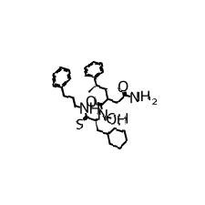 C[C@H](CC(CC(N)=O)C(=O)N(O)[C@@H](CC1CCCCC1)C(=S)NCCCc1ccccc1)c1ccccc1